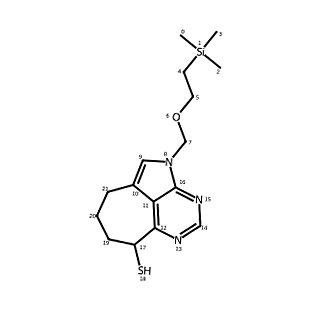 C[Si](C)(C)CCOCn1cc2c3c(ncnc31)C(S)CCC2